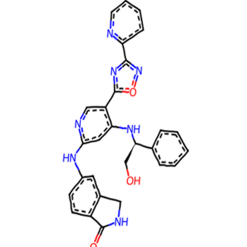 O=C1NCc2cc(Nc3cc(N[C@H](CO)c4ccccc4)c(-c4nc(-c5ccccn5)no4)cn3)ccc21